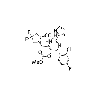 COC(=O)OC1=C(CN2CC(F)(F)C[C@H]2C(=O)O)NC(c2nccs2)=N[C@@H]1c1ccc(F)cc1Cl